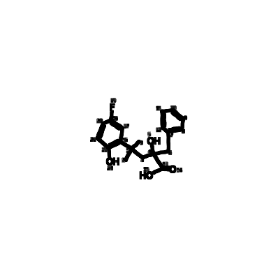 CC(C)(CC(O)(Cc1ccccc1)C(=O)O)c1cc(F)ccc1O